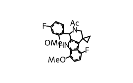 COc1cc(F)ccc1C1c2[nH]c3c(OC)ccc(F)c3c2C2(CC2)CN1C(C)=O